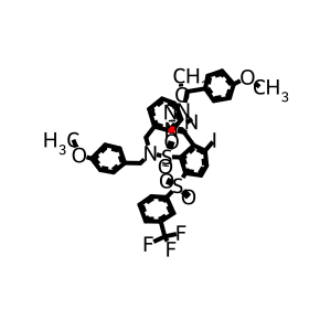 COc1ccc(CN(Cc2ccc(OC)cc2)S(=O)(=O)c2c(S(=O)(=O)c3cccc(C(F)(F)F)c3)ccc(I)c2-c2nnn(Cc3ccc(OC)cc3)n2)cc1